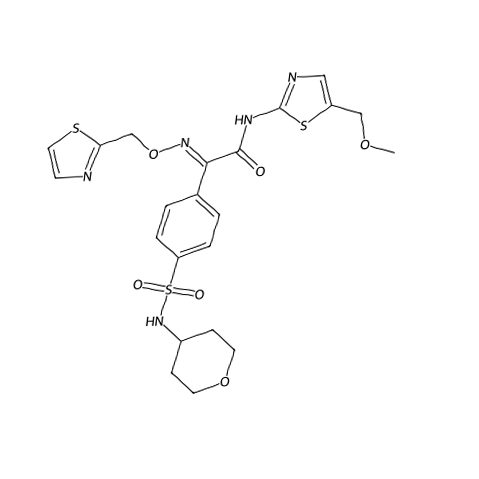 COCc1cnc(NC(=O)/C(=N/OCc2nccs2)c2ccc(S(=O)(=O)NC3CCOCC3)cc2)s1